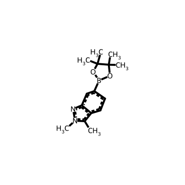 Cc1c2ccc(B3OC(C)(C)C(C)(C)O3)cc2nn1C